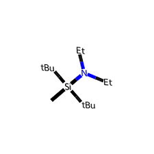 CCN(CC)[Si](C)(C(C)(C)C)C(C)(C)C